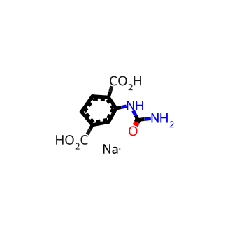 NC(=O)Nc1cc(C(=O)O)ccc1C(=O)O.[Na]